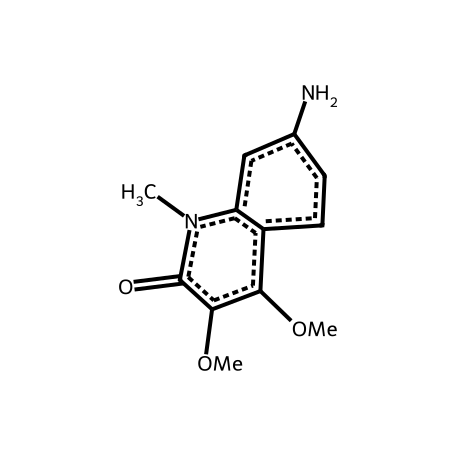 COc1c(OC)c2ccc(N)cc2n(C)c1=O